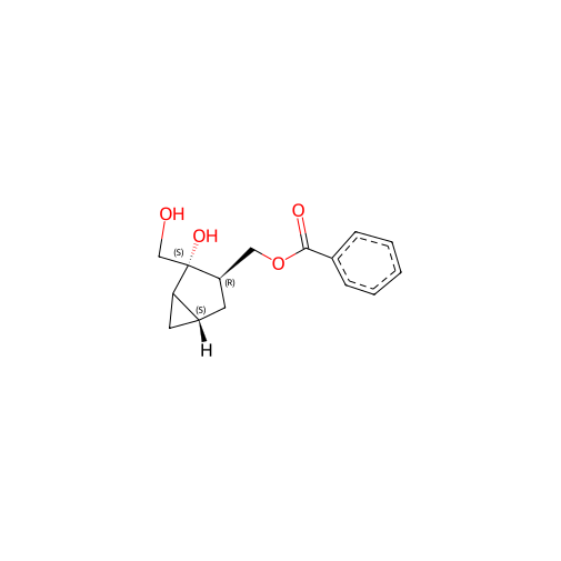 O=C(OC[C@H]1C[C@@H]2CC2[C@@]1(O)CO)c1ccccc1